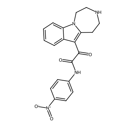 O=C(Nc1ccc([N+](=O)[O-])cc1)C(=O)c1c2n(c3ccccc13)CCNCC2